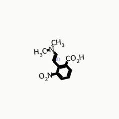 CN(C)/C=C/c1c(C(=O)O)cccc1[N+](=O)[O-]